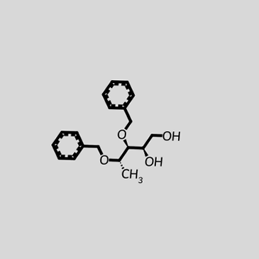 C[C@H](OCc1ccccc1)[C@@H](OCc1ccccc1)[C@H](O)CO